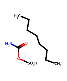 CCCCCCCC.NC(=O)OS(=O)(=O)O